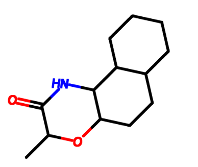 CC1OC2CCC3CCCCC3C2NC1=O